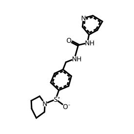 O=C(NCc1ccc([S+]([O-])N2CCCCC2)cc1)Nc1cccnc1